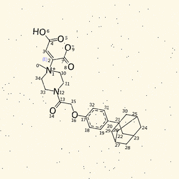 C[N+]1(/C(=C/C(=O)O)C(=O)[O-])CCN(C(=O)COc2ccc(C34CC5CC(CC(C5)C3)C4)cc2)CC1